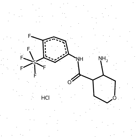 Cl.NC1COCCC1C(=O)Nc1ccc(F)c(S(F)(F)(F)(F)F)c1